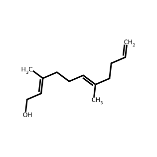 C=CCCC(C)=CCCC(C)=CCO